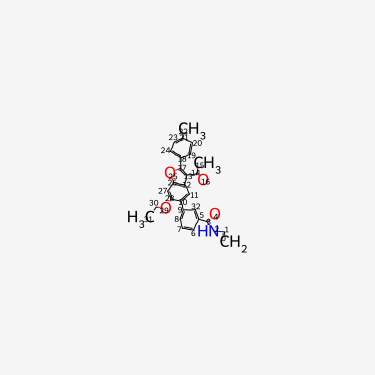 C=CNC(=O)c1cccc(-c2cc3c(C(C)=O)c(-c4ccc(C)cc4)oc3cc2OCC)c1